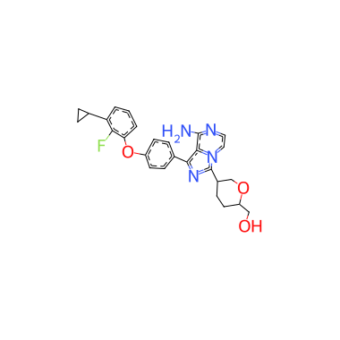 Nc1nccn2c(C3CCC(CO)OC3)nc(-c3ccc(Oc4cccc(C5CC5)c4F)cc3)c12